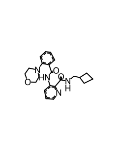 O=C(Nc1cccnc1C(=O)NCC1CCC1)c1ccccc1N1CCOCC1